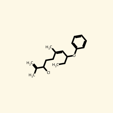 C=C(C)C(Cl)CCC(C)=CC(CC)Oc1ccccc1